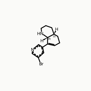 Brc1cncc(C2=CCC[C@H]3CCCN[C@@H]23)c1